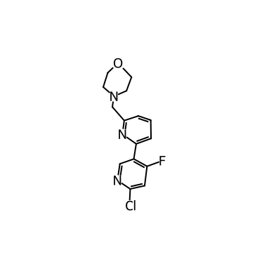 Fc1cc(Cl)ncc1-c1cccc(CN2CCOCC2)n1